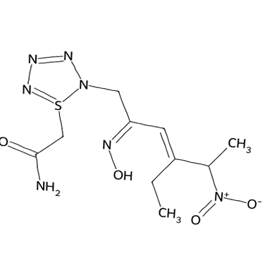 CCC(=CC(CN1N=NN=S1CC(N)=O)=NO)C(C)[N+](=O)[O-]